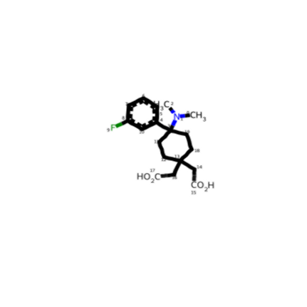 CN(C)C1(c2cccc(F)c2)CCC(CC(=O)O)(CC(=O)O)CC1